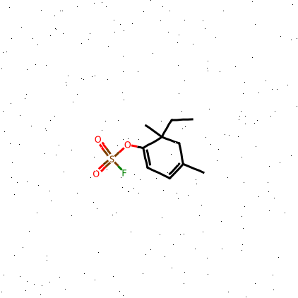 CCC1(C)CC(C)=CC=C1OS(=O)(=O)F